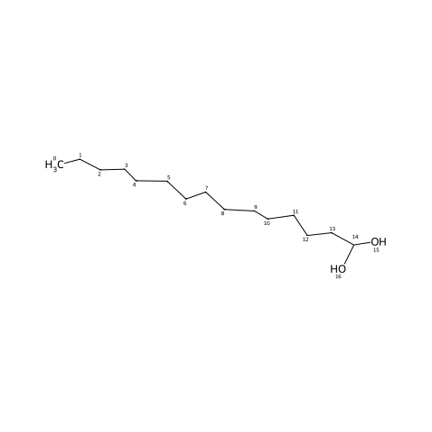 CCCCCCCCCCCCCCC(O)O